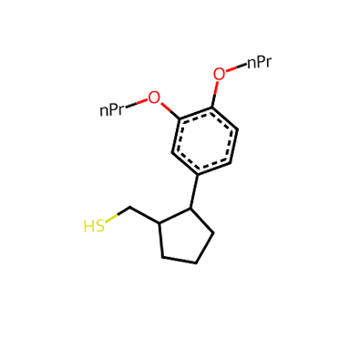 CCCOc1ccc(C2CCCC2CS)cc1OCCC